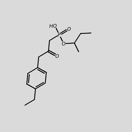 CCc1ccc(CC(=O)CP(=O)(O)OC(C)CC)cc1